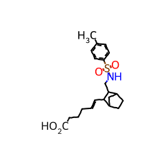 Cc1ccc(S(=O)(=O)NCC2C3CCC(C3)C2C=CCCCC(=O)O)cc1